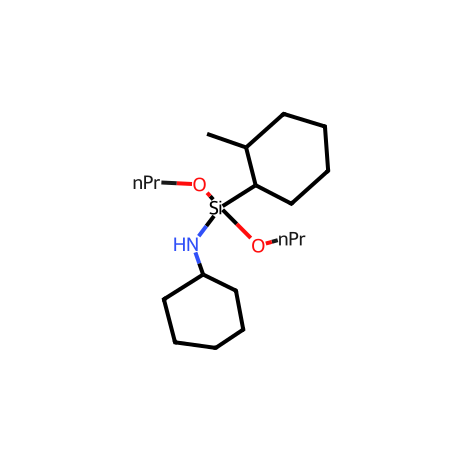 CCCO[Si](NC1CCCCC1)(OCCC)C1CCCCC1C